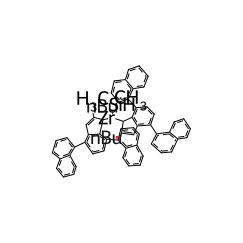 CCCCC1=Cc2c(-c3cccc4ccccc34)ccc(-c3cccc4ccccc34)c2[CH]1[Zr]([CH]1C(CCCC)=Cc2c(-c3cccc4ccccc34)ccc(-c3cccc4ccccc34)c21)[SiH](C)C